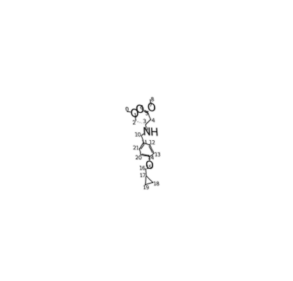 COC[C@H](CC(=O)OC)NCc1ccc(OCC2CC2)cc1